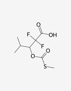 CSC(=O)OC(C(C)C)C(F)(F)C(=O)O